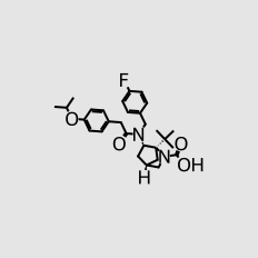 CC(C)Oc1ccc(CC(=O)N(Cc2ccc(F)cc2)[C@H]2C[C@H]3CN(C(=O)O)[C@@]2(C(C)(C)C)C3)cc1